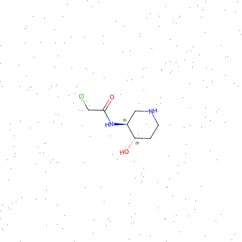 O=C(CCl)N[C@H]1CNCC[C@@H]1O